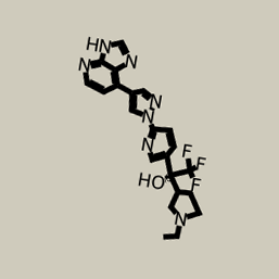 CCN1CCC([C@](O)(c2ccc(-n3cc(-c4ccnc5[nH]cnc45)cn3)nc2)C(F)(F)F)C1